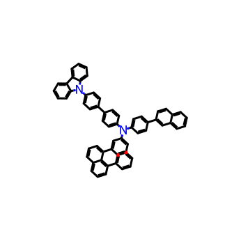 c1ccc(-c2cccc3cccc(-c4cccc(N(c5ccc(-c6ccc(-n7c8ccccc8c8ccccc87)cc6)cc5)c5ccc(-c6ccc7ccccc7c6)cc5)c4)c23)cc1